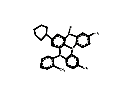 Cc1ccc2c(c1)B1c3ccc(C)cc3N(C(C)C)c3cc(C4CCCCC4)cc(c31)N2c1ccccc1C